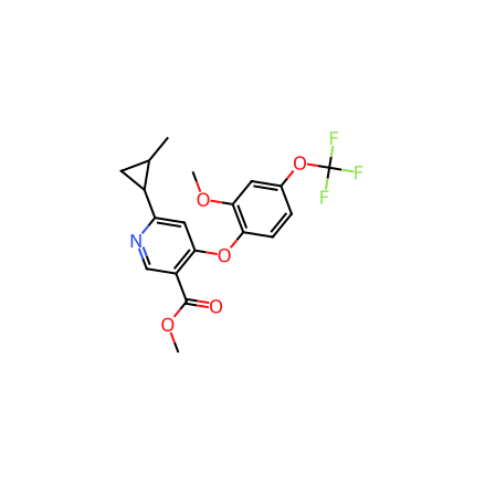 COC(=O)c1cnc(C2CC2C)cc1Oc1ccc(OC(F)(F)F)cc1OC